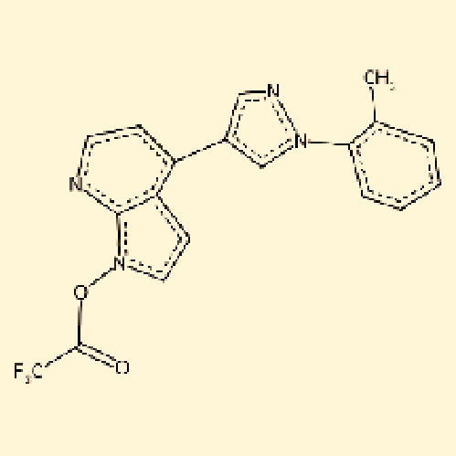 Cc1ccccc1-n1cc(-c2ccnc3c2ccn3OC(=O)C(F)(F)F)cn1